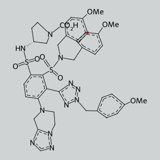 COc1ccc(CN(Cc2ccc(OC)cc2)S(=O)(=O)c2c(S(=O)(=O)N[C@@H]3CCN(C(=O)O)C3)ccc(N3CCn4ncnc4C3)c2-c2nnn(Cc3ccc(OC)cc3)n2)cc1